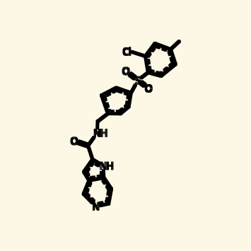 Cc1ccc(S(=O)(=O)c2ccc(CNC(=O)c3cc4cnccc4[nH]3)cc2)c(Cl)c1